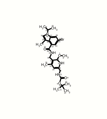 COC1NC(CNC(=O)OC(C)(C)C)=CC(C)=C1CNC(=O)c1cc(Br)cc2c1c(C)cn2C(C)C